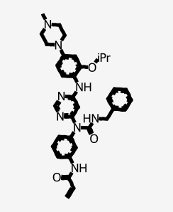 C=CC(=O)Nc1cccc(N(C(=O)NCc2ccccc2)c2cc(Nc3ccc(N4CCN(C)CC4)cc3OC(C)C)ncn2)c1